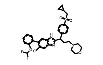 O=S(=O)(CC1CC1)c1ccc(C(CCN2CCOCC2)c2nc3cc(Cl)c(-c4ccccc4OC(F)F)cc3[nH]2)cc1